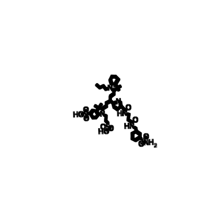 CCCC[N+]1=C(/C=C/C(=C/C=C2/N(CCCS(=O)(=O)O)c3ccc(S(=O)(=O)O)cc3C2(C)C)c2ccc(C(=O)NCCC(=O)NCc3cccc(S(N)(=O)=O)c3)cn2)C(C)(C)c2ccccc21